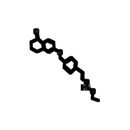 CCONO/C=C/c1ccc(COc2ccc3c(c2)CCCC3=O)cc1